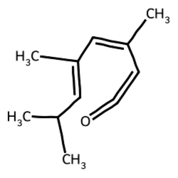 CC(C=C=O)=CC(C)=CC(C)C